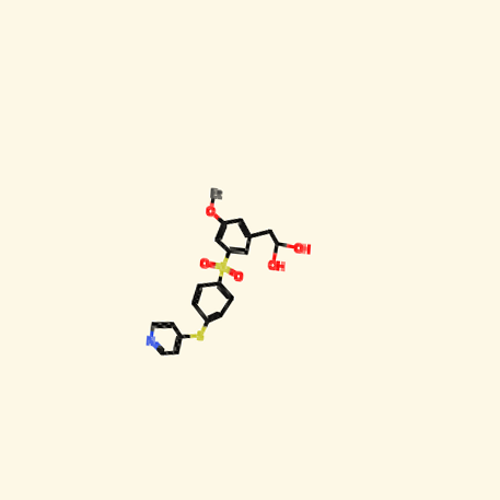 CCOc1cc(CC(O)O)cc(S(=O)(=O)c2ccc(Sc3ccncc3)cc2)c1